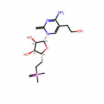 C=C1N=C(N)C(CCO)=CN1[C@@H]1O[C@H](CCP(=C)(C)C)[C@@H](O)[C@H]1O